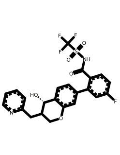 O=C(NS(=O)(=O)C(F)(F)F)c1ccc(F)cc1-c1ccc2c(c1)OCC(Cc1ccccn1)[C@@H]2O